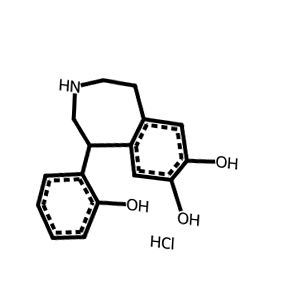 Cl.Oc1cc2c(cc1O)C(c1ccccc1O)CNCC2